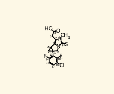 Cn1c(CC(=O)O)c2n(c1=S)C[C@@]1(c3c(F)ccc(Cl)c3F)CC21